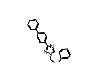 c1ccc(-c2ccc(-c3nc4n(n3)CCCc3ccccc3-4)cc2)cc1